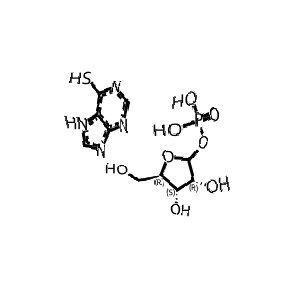 O=P(O)(O)OC1O[C@H](CO)[C@@H](O)[C@H]1O.Sc1ncnc2nc[nH]c12